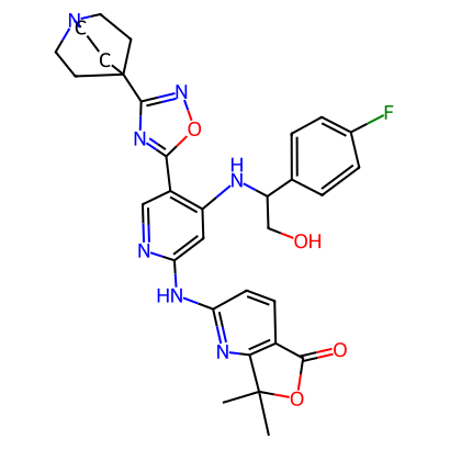 CC1(C)OC(=O)c2ccc(Nc3cc(NC(CO)c4ccc(F)cc4)c(-c4nc(C56CCN(CC5)CC6)no4)cn3)nc21